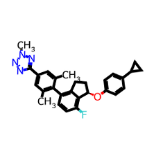 Cc1cc(-c2nnn(C)n2)cc(C)c1-c1ccc(F)c2c1CC[C@H]2Oc1ccc(C2CC2)cc1